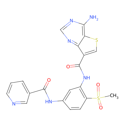 CS(=O)(=O)c1ccc(NC(=O)c2cccnc2)cc1NC(=O)c1csc2c(N)ncnc12